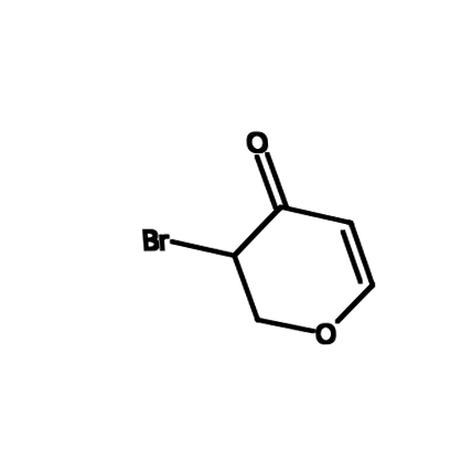 O=C1C=COCC1Br